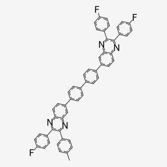 Cc1ccc(-c2nc3cc(-c4ccc(-c5ccc(-c6ccc7nc(-c8ccc(F)cc8)c(-c8ccc(F)cc8)nc7c6)cc5)cc4)ccc3nc2-c2ccc(F)cc2)cc1